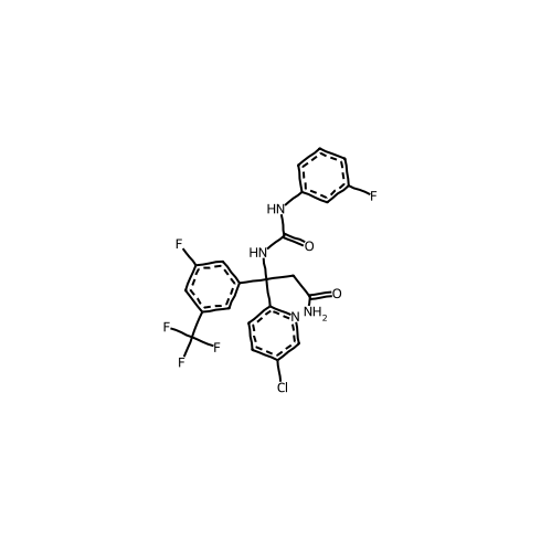 NC(=O)CC(NC(=O)Nc1cccc(F)c1)(c1cc(F)cc(C(F)(F)F)c1)c1ccc(Cl)cn1